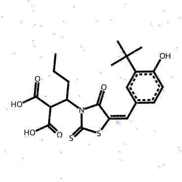 CCCC(C(C(=O)O)C(=O)O)N1C(=O)/C(=C\c2ccc(O)c(C(C)(C)C)c2)SC1=S